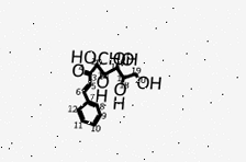 O=CC(O)(C(=O)C=Cc1ccccc1)C(O)C(O)C(O)CO